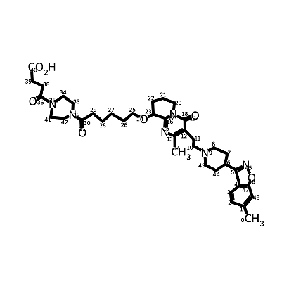 Cc1ccc2c(C3CCN(CCc4c(C)nc5n(c4=O)CCCC5OCCCCCC(=O)N4CCN(C(=O)CCC(=O)O)CC4)CC3)noc2c1